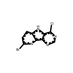 Clc1ncnc2c1[nH]c1ccc(Br)nc12